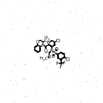 COCN(c1cc(Cl)cnc1C(=O)N1c2ccccc2OCC1C)S(=O)(=O)c1ccc(Cl)c(C(F)(F)F)c1